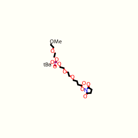 COCCOCCOP(=O)(OCCOCCOCCCC(=O)ON1C(=O)CCC1=O)OC(C)(C)C